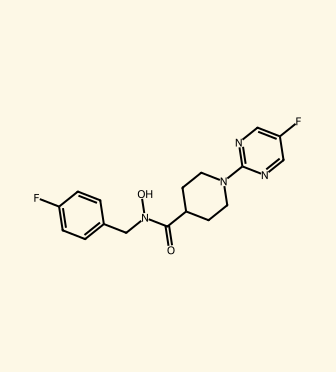 O=C(C1CCN(c2ncc(F)cn2)CC1)N(O)Cc1ccc(F)cc1